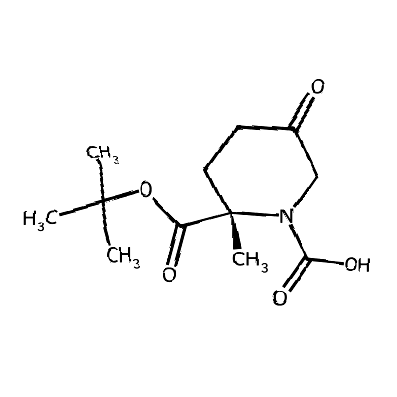 CC(C)(C)OC(=O)[C@]1(C)CCC(=O)CN1C(=O)O